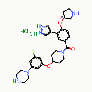 Cl.Cl.O=C(c1ccc(O[C@H]2CCNC2)c(-c2cn[nH]c2)c1)N1CCC(Oc2cc(F)cc(N3CCNCC3)c2)CC1